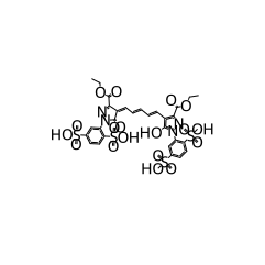 CCOC(=O)C1=NN(c2cc(S(=O)(=O)O)ccc2S(=O)(=O)O)C(=O)/C1=C\C=CC=Cc1c(C(=O)OCC)nn(-c2cc(S(=O)(=O)O)ccc2S(=O)(=O)O)c1O